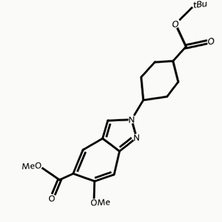 COC(=O)c1cc2cn(C3CCC(C(=O)OC(C)(C)C)CC3)nc2cc1OC